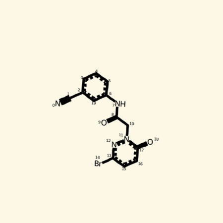 N#Cc1cccc(NC(=O)Cn2nc(Br)ccc2=O)c1